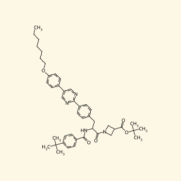 CCCCCCCOc1ccc(-c2cnc(-c3ccc(CC(NC(=O)c4ccc(C(C)(C)C)cc4)C(=O)N4CC(C(=O)OC(C)(C)C)C4)cc3)nc2)cc1